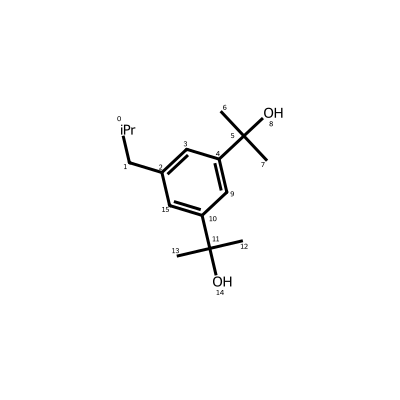 CC(C)Cc1cc(C(C)(C)O)cc(C(C)(C)O)c1